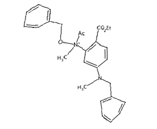 CCOC(=O)c1ccc(N(C)Cc2ccccc2)cc1[N+](C)(OCc1ccccc1)C(C)=O